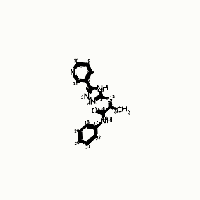 CC(Sc1nnc(-c2cccnc2)[nH]1)C(=O)Nc1ccccc1